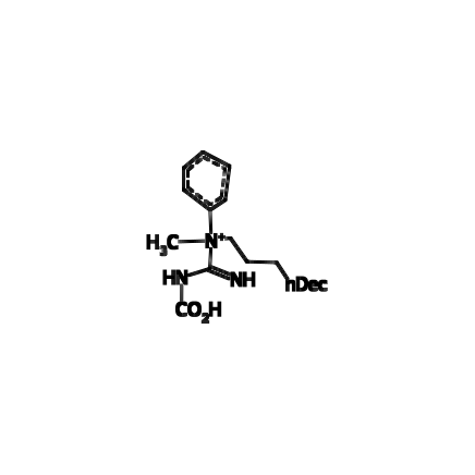 CCCCCCCCCCCCC[N+](C)(C(=N)NC(=O)O)c1ccccc1